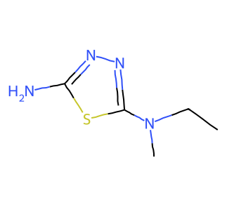 CCN(C)c1nnc(N)s1